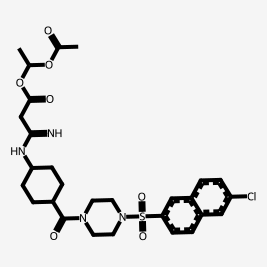 CC(=O)OC(C)OC(=O)CC(=N)NC1CCC(C(=O)N2CCN(S(=O)(=O)c3ccc4cc(Cl)ccc4c3)CC2)CC1